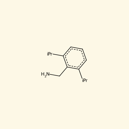 CC(C)c1cccc(C(C)C)c1CN